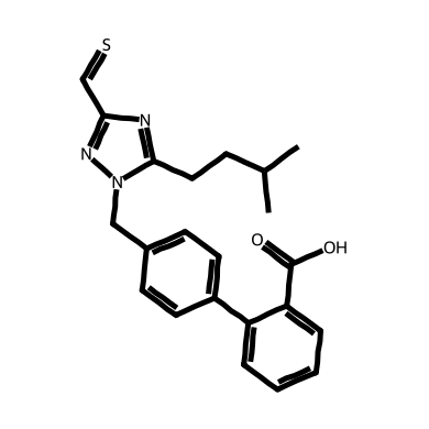 CC(C)CCc1nc(C=S)nn1Cc1ccc(-c2ccccc2C(=O)O)cc1